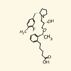 Cc1ccc(C[C@@H]2CCCN2C[C@H](O)CO[C@H](C)c2ccccc2CCCCC(=O)O)cc1F